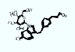 OCCCc1ccc(Cc2cn([C@@H]3O[C@H](CO)[C@@H](O)[C@H](O)[C@H]3O)c3cc(Cl)ccc23)cc1